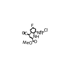 COC(=O)C1=CC(=C=O)c2cc(F)cc(NCCCl)c2N1